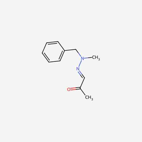 CC(=O)/C=N/N(C)Cc1ccccc1